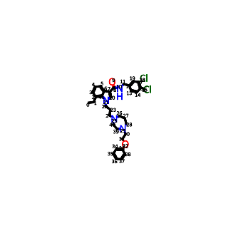 CCc1cccc2c(C(=O)NCc3ccc(Cl)c(Cl)c3)cn(CCCN3CCCN(CCOc4ccccc4)CC3)c12